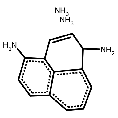 N.N.Nc1ccc2cccc3c2c1C=CC3N